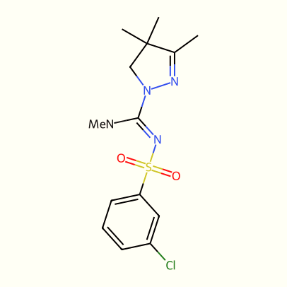 CN/C(=N\S(=O)(=O)c1cccc(Cl)c1)N1CC(C)(C)C(C)=N1